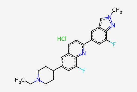 CCN1CCC(c2cc(F)c3nc(-c4cc(F)c5nn(C)cc5c4)ccc3c2)CC1.Cl